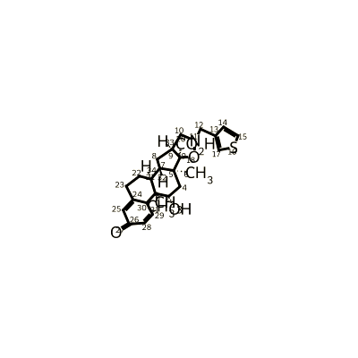 C[C@]12[C@@H](O)C[C@@]3(C)[C@@H](C[C@H]4CN(Cc5ccsc5)O[C@]43C(=O)O)[C@@H]1CCC1=CC(=O)C=C[C@@]12C